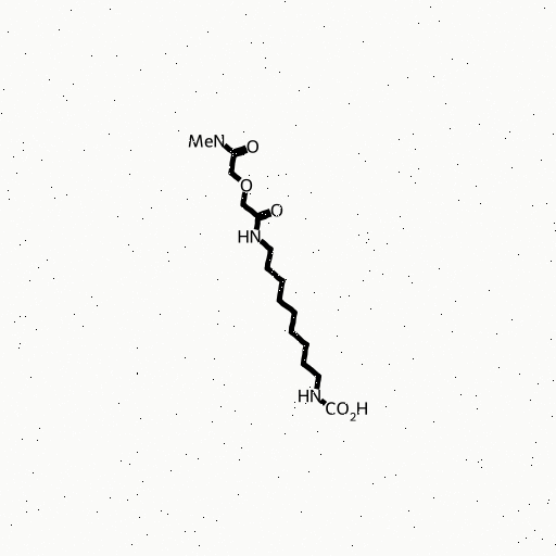 CNC(=O)COCC(=O)NCCCCCCCCCNC(=O)O